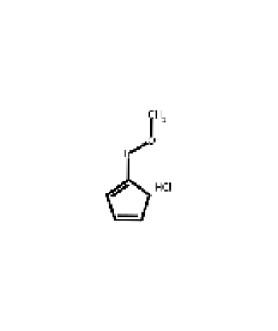 C[O][Ti][C]1=CC=CC1.Cl